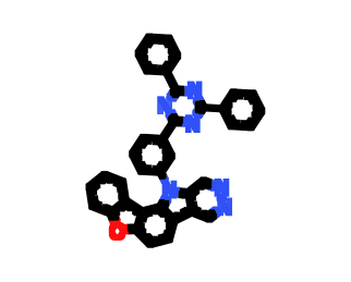 c1ccc(-c2nc(-c3ccccc3)nc(-c3cccc(-n4c5cnncc5c5ccc6oc7ccccc7c6c54)c3)n2)cc1